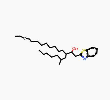 CCCCCCCCCCCCC(CC(C)CCCCC)C(O)Cc1nc2ccccc2s1